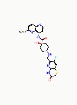 COc1ccc2nccc(NC(=O)[C@]3(O)CC[C@@H](NCc4nc5c(cc4F)SCC(=O)N5)CC3)c2n1